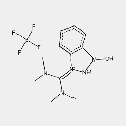 CN(C)C(N(C)C)=[N+]1NN(O)c2ccccc21.F[B-](F)(F)F